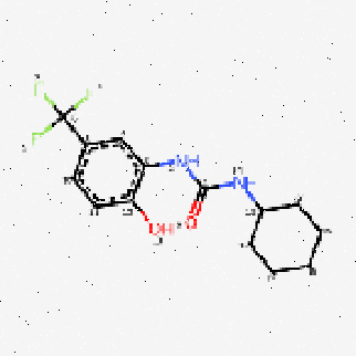 O=C(Nc1cc(C(F)(F)F)ccc1O)NC1CCCCC1